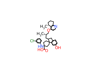 C[C@@H](COc1ccnc2c1[C@H](C)CCC2)CC1Cc2ccc(O)cc2C12CCC(Nc1cccc(Cl)c1)(C(=O)O)CC2